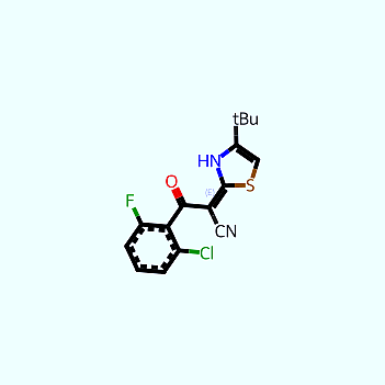 CC(C)(C)C1=CS/C(=C(\C#N)C(=O)c2c(F)cccc2Cl)N1